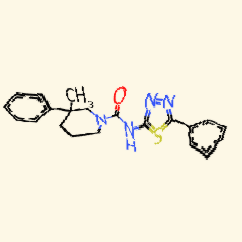 CC1(c2ccccc2)CCCN(C(=O)Nc2nnc(-c3ccccc3)s2)C1